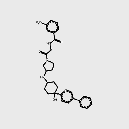 O=C(NCC(=O)N1CCC(NC2CCC(O)(c3ccc(-c4ccccc4)cn3)CC2)C1)c1cccc(C(F)(F)F)c1